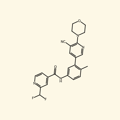 Cc1ccc(NC(=O)c2ccnc(C(F)F)c2)cc1-c1cnc(N2CCOCC2)c(C#N)c1